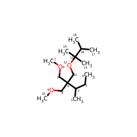 CCC(C)C(COC)(COC)COC(C)(C)C(C)C